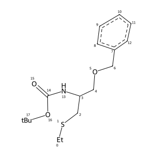 CCSCC(COCc1ccccc1)NC(=O)OC(C)(C)C